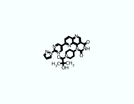 CC(C)(O)C(=O)N1CCC(n2c(=O)[nH]c(=O)c3cnc4ccc(-c5cnc(-n6cccn6)nc5)nc4c32)CC1